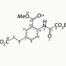 CCOC(=O)C(=O)Nc1ccc(CCC(=O)O)cc1C(=O)OC